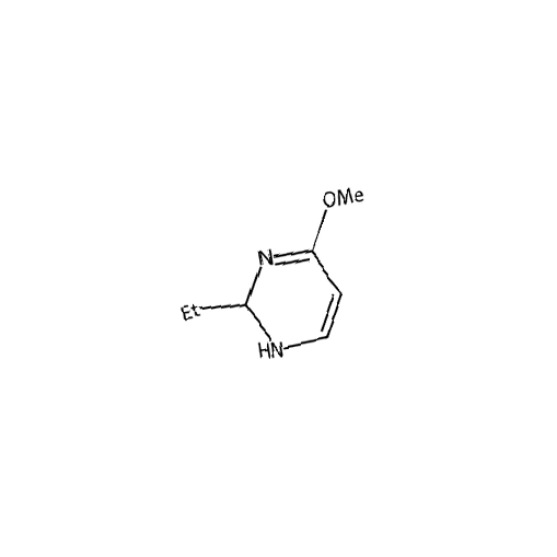 CCC1N=C(OC)C=CN1